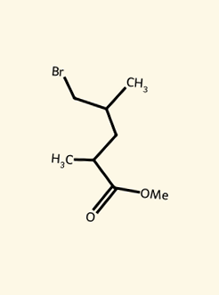 COC(=O)C(C)CC(C)CBr